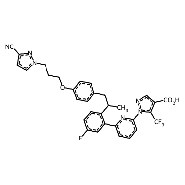 CC(Cc1ccc(OCCCn2ccc(C#N)n2)cc1)c1ccc(F)cc1-c1cccc(-n2ncc(C(=O)O)c2C(F)(F)F)n1